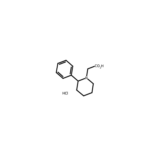 Cl.O=C(O)CN1CCCCC1c1ccccc1